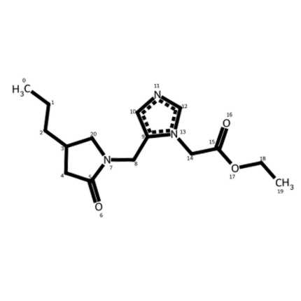 CCCC1CC(=O)N(Cc2cncn2CC(=O)OCC)C1